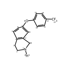 [2H]N1CCc2ccc(Oc3ccc(C(F)(F)F)cc3)cc2C1